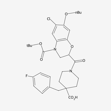 CCCCOc1cc2c(cc1Cl)N(C(=O)OC(C)(C)C)CC(C(=O)N1CCC(Cc3ccc(F)cc3)(C(=O)O)CC1)O2